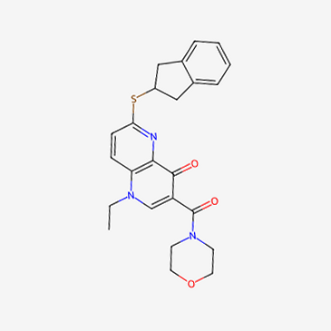 CCn1cc(C(=O)N2CCOCC2)c(=O)c2nc(SC3Cc4ccccc4C3)ccc21